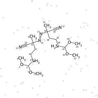 COC(OC)[SiH2]CCC(C)(C#N)N=NC(C)(C#N)CC[SiH2]C(OC)OC